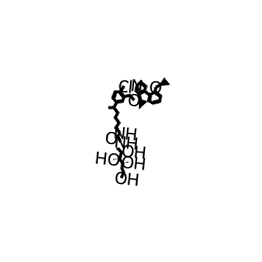 CC(CCCCNC(=O)NC[C@H](O)[C@@H](O)[C@H](O)CCO)c1ccc(Cl)c(COC2(c3cnccc3-c3ccccc3OC3CC3)CC2)c1